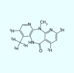 [2H]c1cc([2H])c2c(n1)N(C)c1ncc([2H])c(C([2H])([2H])[2H])c1NC2=O